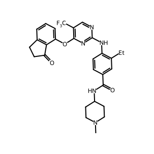 CCc1cc(C(=O)NC2CCN(C)CC2)ccc1Nc1ncc(C(F)(F)F)c(Oc2cccc3c2C(=O)CC3)n1